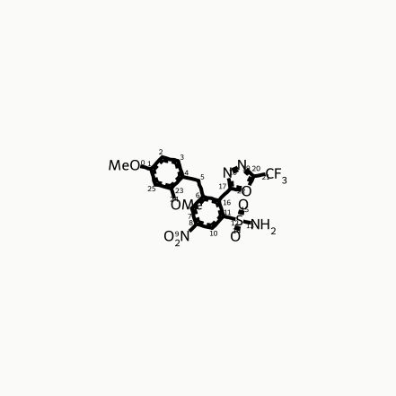 COc1ccc(Cc2cc([N+](=O)[O-])cc(S(N)(=O)=O)c2-c2nnc(C(F)(F)F)o2)c(OC)c1